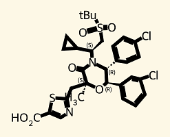 CC(C)(C)S(=O)(=O)C[C@H](C1CC1)N1C(=O)[C@](C)(Cc2ncc(C(=O)O)s2)O[C@H](c2cccc(Cl)c2)[C@H]1c1ccc(Cl)cc1